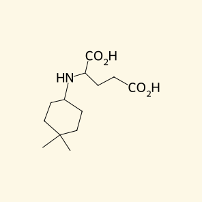 CC1(C)CCC(NC(CCC(=O)O)C(=O)O)CC1